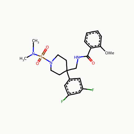 COc1ccccc1C(=O)NCC1(c2cc(F)cc(F)c2)CCN(S(=O)(=O)N(C)C)CC1